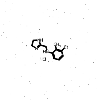 CCc1cccc(NCC2=NCCN2)c1C.Cl